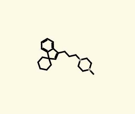 CN1CCN(CCCC2=CC3(CCCCC3)c3ccccc32)CC1